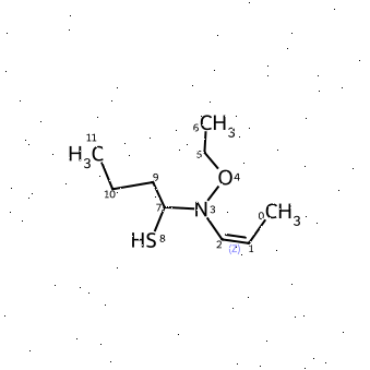 C/C=C\N(OCC)C(S)CCC